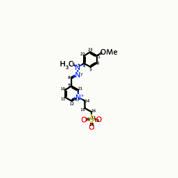 COc1ccc(N(C)N=Cc2ccc[n+](CCCS(=O)(=O)[O-])c2)cc1